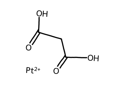 O=C(O)CC(=O)O.[Pt+2]